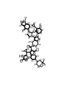 C[C@H]1c2c(nn(-c3ccc(F)c(C4CC4)c3)c2N2C=CN(c3ccc4c(cnn4C)c3F)C2O)CCN1C(=O)c1c(C2(c3noc(=O)[nH]3)CC2)c2ccc([C@@H]3CCOC(C)(C)C3)cn2c1Cl